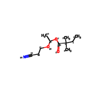 CCC(C)(C)C(=O)OC(C)OCCC#N